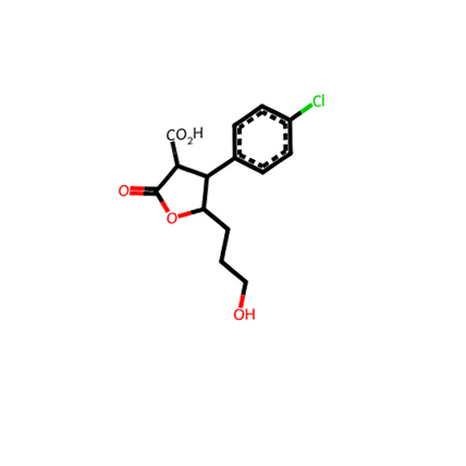 O=C(O)C1C(=O)OC(CCCO)C1c1ccc(Cl)cc1